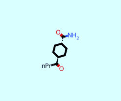 CCCC(=O)[C@H]1CC[C@H](C(N)=O)CC1